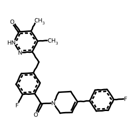 Cc1c(Cc2ccc(F)c(C(=O)N3CC=C(c4ccc(F)cc4)CC3)c2)n[nH]c(=O)c1C